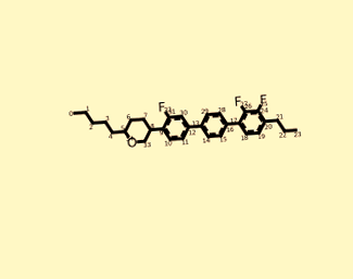 CCCCCC1CCC(c2ccc(-c3ccc(-c4ccc(CCC)c(F)c4F)cc3)cc2F)CO1